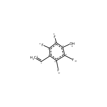 C=Cc1c(F)c(F)c(O)c(F)c1F